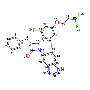 O=C1[C@H](Cc2ccccc2)[C@H](c2c(F)cc(OCCC(F)F)cc2F)N1c1ccc2[nH]cnc2c1